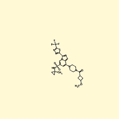 COC1CC(C(=O)N2CCN(c3cc(S(=O)(=O)NC4(C)CC4)cn4c(-c5nnc(C(F)(F)F)s5)ncc34)CC2)C1